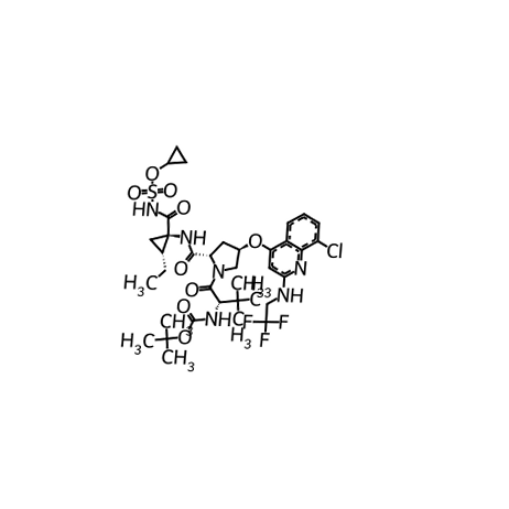 CC[C@@H]1C[C@]1(NC(=O)[C@@H]1C[C@@H](Oc2cc(NCC(F)(F)F)nc3c(Cl)cccc23)CN1C(=O)[C@@H](NC(=O)OC(C)(C)C)C(C)(C)C)C(=O)NS(=O)(=O)OC1CC1